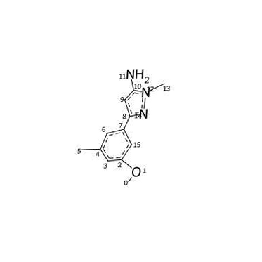 COc1cc(C)cc(-c2cc(N)n(C)n2)c1